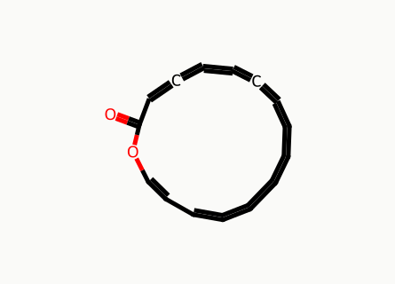 O=C1C=C=C=C=C=C=C=C=C=C=C=CC=CO1